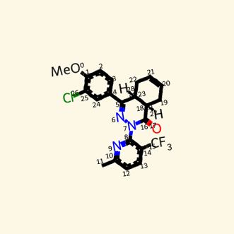 COc1ccc(C2=NN(c3nc(C)ccc3C(F)(F)F)C(=O)[C@H]3CC=CC[C@@H]23)cc1Cl